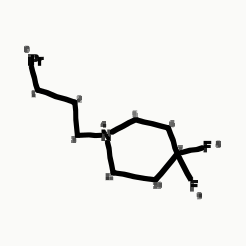 CC(C)CCCN1CCC(F)(F)CC1